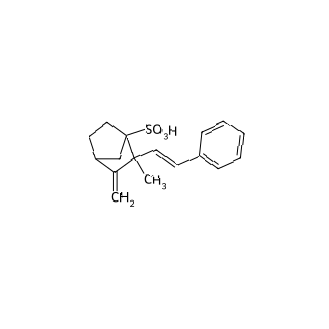 C=C1C2CCC(S(=O)(=O)O)(C2)C1(C)C=Cc1ccccc1